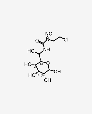 O=NN(CCCl)C(=O)NC(O)[C@H]1OC(O)[C@H](O)[C@@H](O)[C@@H]1O